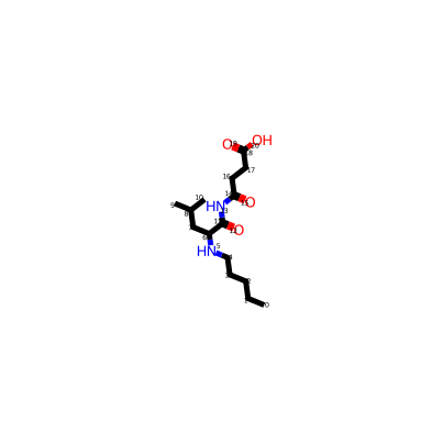 CCCCCNC(CC(C)C)C(=O)NC(=O)CCC(=O)O